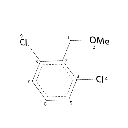 COCc1c(Cl)cccc1Cl